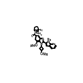 CCn1c(-c2nc3cc(C(=O)N4C[C@H]5CCC4C5N)cc(OC)c3n2C2CC(OC)C2)cc2cccnc21